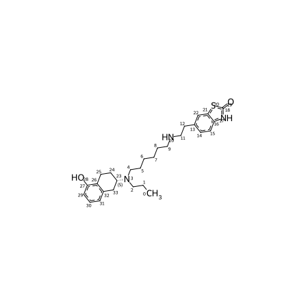 CCCN(CCCCCCNCCc1ccc2[nH]c(=O)sc2c1)[C@H]1CCc2c(O)cccc2C1